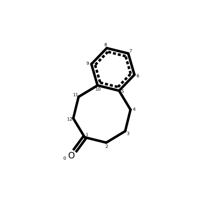 O=C1CCCc2ccccc2CC1